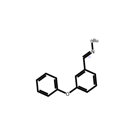 CCCC/N=C/c1cccc(Oc2ccccc2)c1